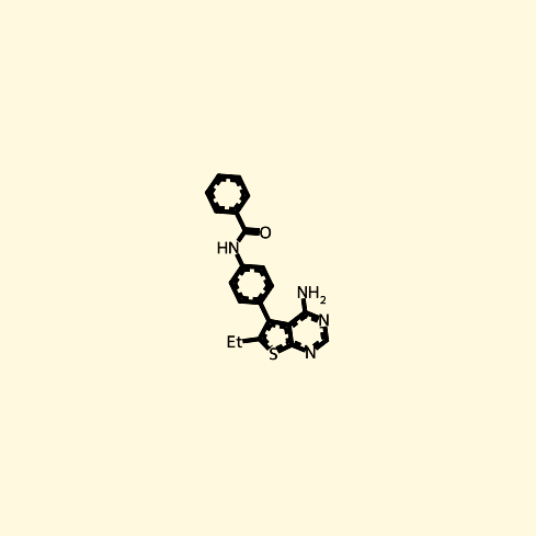 CCc1sc2ncnc(N)c2c1-c1ccc(NC(=O)c2ccccc2)cc1